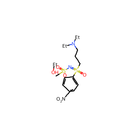 CCN(CC)CCCS(=O)(=NS(C)(=O)=O)c1ccc([N+](=O)[O-])cc1.CCO